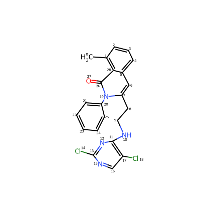 Cc1cccc2cc(CCNc3nc(Cl)ncc3Cl)n(-c3ccccc3)c(=O)c12